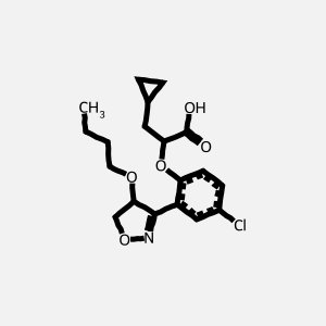 CCCCOC1CON=C1c1cc(Cl)ccc1OC(CC1CC1)C(=O)O